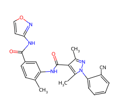 Cc1ccc(C(=O)Nc2ccon2)cc1NC(=O)c1c(C)nn(-c2ccccc2C#N)c1C